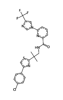 CC(C)(CNC(=O)c1cccc(-n2cnc(C(F)(F)F)c2)n1)c1nc(-c2ccc(Cl)cc2)cs1